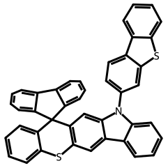 c1ccc2c(c1)Sc1cc3c4ccccc4n(-c4ccc5c(c4)sc4ccccc45)c3cc1C21c2ccccc2-c2ccccc21